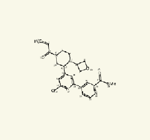 C=CC(=O)N1CCN(C2COC2)[C@@H](c2cc(Cl)nc(-c3ccnc(C(=O)NC)c3)c2)C1